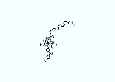 CC/C=C\C/C=C\C/C=C\C/C=C\C/C=C\C/C=C\CCC(=O)NCC(C)(C)NC(=O)C(C)(C)Oc1ccc(C(=O)c2ccc(Cl)cc2)cc1